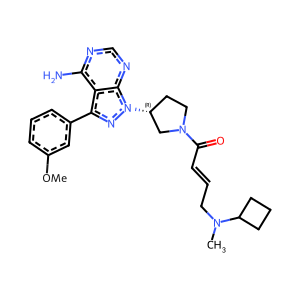 COc1cccc(-c2nn([C@@H]3CCN(C(=O)C=CCN(C)C4CCC4)C3)c3ncnc(N)c23)c1